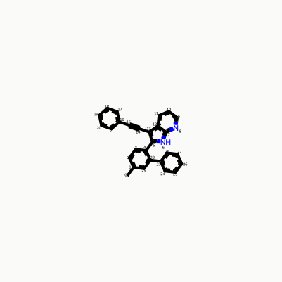 Cc1ccc(-c2[nH]c3ncccc3c2C#Cc2ccccc2)c(-c2ccccc2)c1